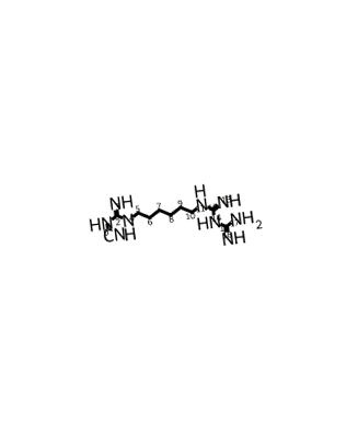 N#CNC(=N)NCCCCCCNC(=N)NC(=N)N